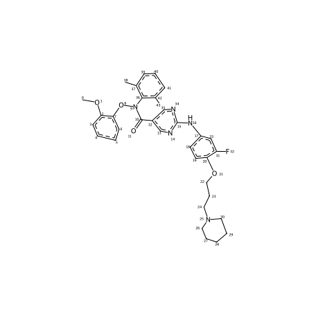 COc1ccccc1ON(C(=O)c1cnc(Nc2ccc(OCCCN3CCCCC3)c(F)c2)nc1)c1c(C)cccc1C